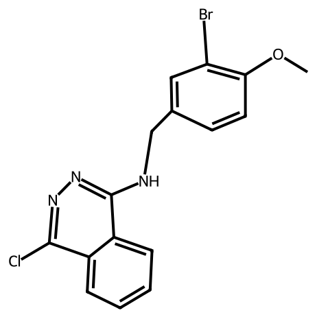 COc1ccc(CNc2nnc(Cl)c3ccccc23)cc1Br